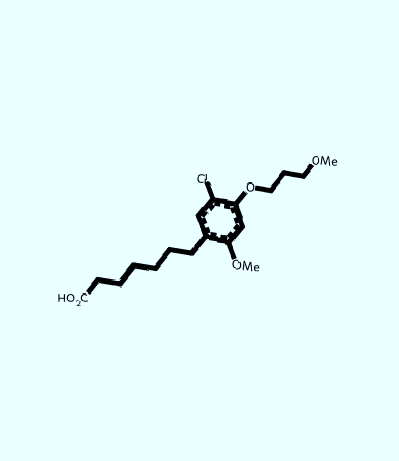 COCCCOc1cc(OC)c(CCCCCCC(=O)O)cc1Cl